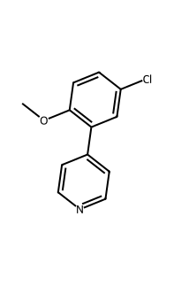 COc1ccc(Cl)cc1-c1ccncc1